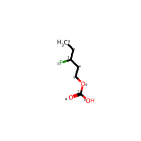 CCC(F)CCOC(=O)O